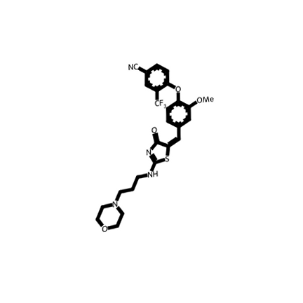 COc1cc(C=C2SC(NCCCN3CCOCC3)=NC2=O)ccc1Oc1ccc(C#N)cc1C(F)(F)F